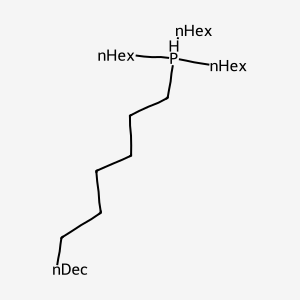 CCCCCCCCCCCCCCCC[PH](CCCCCC)(CCCCCC)CCCCCC